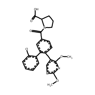 COc1ncc(-c2ccc(C(=O)N3CCCC3C(=O)O)cc2-c2ccccc2Cl)c(OC)n1